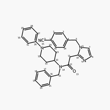 N#Cc1ccc(Cn2ccnc2CC(=O)N(Cc2ccccc2)C2CCN(c3ccccc3)CC2)cc1